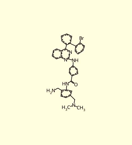 CN(C)Cc1ccc(CN)c(NC(=O)c2ccc(Nc3nc(-c4ccccc4-c4ccccc4Br)c4ccccc4n3)cc2)c1